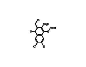 CCCCCOc1c(C(=O)O)n(CC(C)C)c(=O)c2cc(Cl)c(Cl)cc12